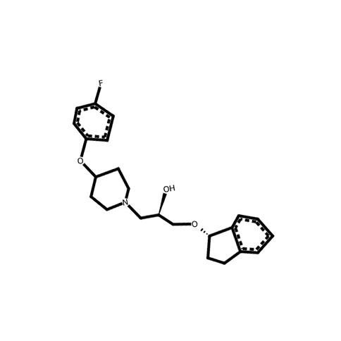 O[C@@H](CO[C@H]1CCc2ccccc21)CN1CCC(Oc2ccc(F)cc2)CC1